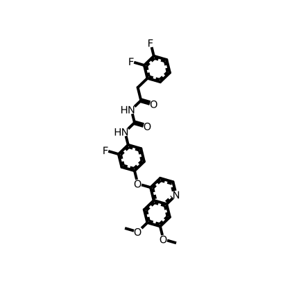 COc1cc2nccc(Oc3ccc(NC(=O)NC(=O)Cc4cccc(F)c4F)c(F)c3)c2cc1OC